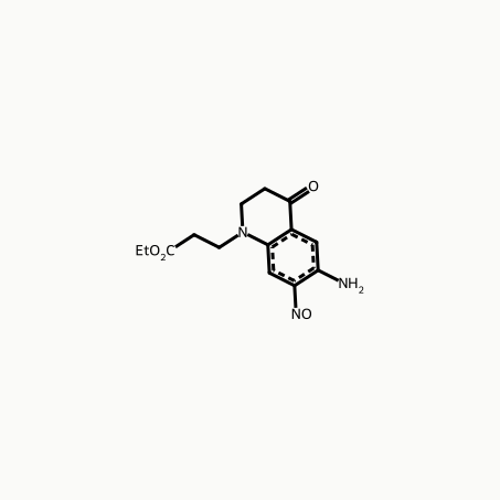 CCOC(=O)CCN1CCC(=O)c2cc(N)c(N=O)cc21